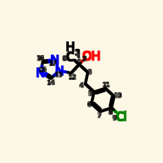 CC(O)(CCc1ccc(Cl)cc1)Cn1cncn1